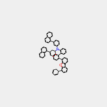 C1=CCC(c2cccc3c2oc2c(-c4ccccc4-c4ccccc4N(c4cccc(-c5cccc6ccccc56)c4)C4C=CC=C(c5cccc6ccccc56)C4)cccc23)C=C1